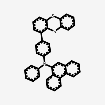 c1ccc(N(c2ccc(-c3cccc4c3Sc3ccccc3S4)cc2)c2cc3ccccc3c3ccccc23)cc1